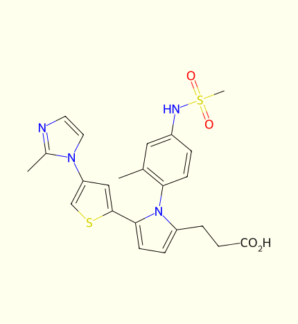 Cc1cc(NS(C)(=O)=O)ccc1-n1c(CCC(=O)O)ccc1-c1cc(-n2ccnc2C)cs1